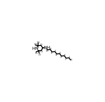 CCCCCCCCCCCNC1CC(C)(C)NC(C)(C)C1